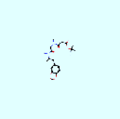 CCC(C)(C)OC(=O)CC(=O)N(C)CC(=O)N(C)C(C)Cc1ccc2c(c1)OCO2